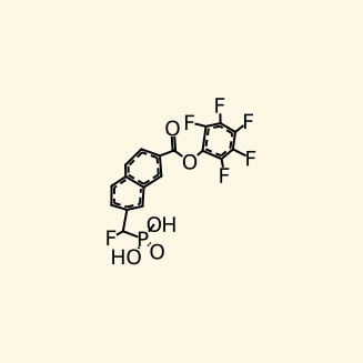 O=C(Oc1c(F)c(F)c(F)c(F)c1F)c1ccc2ccc(C(F)P(=O)(O)O)cc2c1